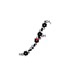 COc1ccc(OCCOc2ccc(C(=O)Oc3ccc(SCCOCOCCSc4ccc(O)cc4)cc3)c(O)c2)cc1